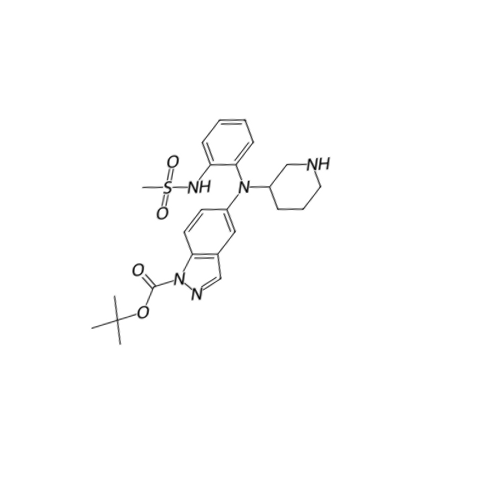 CC(C)(C)OC(=O)n1ncc2cc(N(c3ccccc3NS(C)(=O)=O)C3CCCNC3)ccc21